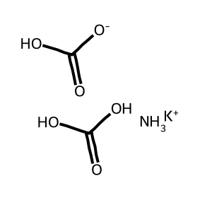 N.O=C(O)O.O=C([O-])O.[K+]